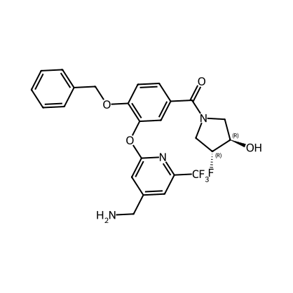 NCc1cc(Oc2cc(C(=O)N3C[C@@H](O)[C@H](F)C3)ccc2OCc2ccccc2)nc(C(F)(F)F)c1